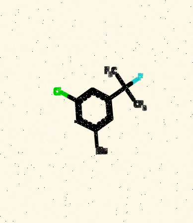 CCC(C)c1[c]c(Cl)cc(C(F)(C(F)(F)F)C(F)(F)F)c1